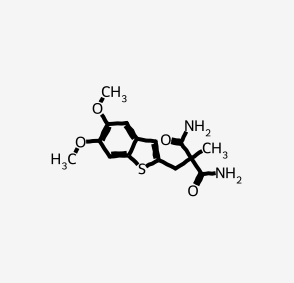 COc1cc2cc(CC(C)(C(N)=O)C(N)=O)sc2cc1OC